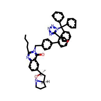 CCCCc1nc2ccc([C@@]3(C)C[C@H]4CCCN4O3)cc2c(=O)n1Cc1ccc(-c2ccccc2-c2nnnn2C(c2ccccc2)(c2ccccc2)c2ccccc2)cc1